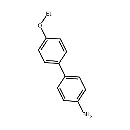 Bc1ccc(-c2ccc(OCC)cc2)cc1